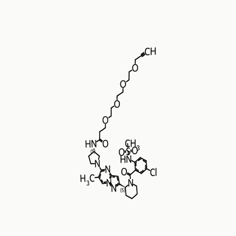 C#CCOCCOCCOCCOCCC(=O)N[C@H]1CCN(c2nc3cc([C@@H]4CCCCN4C(=O)c4cc(Cl)ccc4NS(C)(=O)=O)nn3cc2C)C1